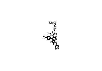 COCCOCCOC(=O)[C@@H](OC(C)(C)C)c1c(C)nc2c(c(C)c(C)n2Cc2cnn(C)c2)c1-c1ccc(Cl)cc1